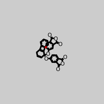 O=C1OC(=O)c2cc(OC3(Oc4ccc5c(c4)C(=O)OC5=O)C=CCC4=C3c3ccccc34)ccc21